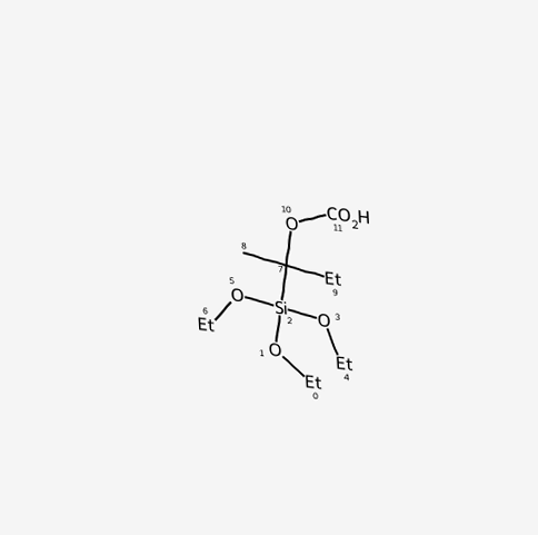 CCO[Si](OCC)(OCC)C(C)(CC)OC(=O)O